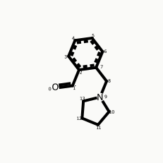 O=[C]c1ccccc1CN1CCCC1